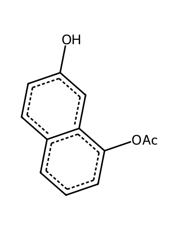 CC(=O)Oc1cccc2ccc(O)cc12